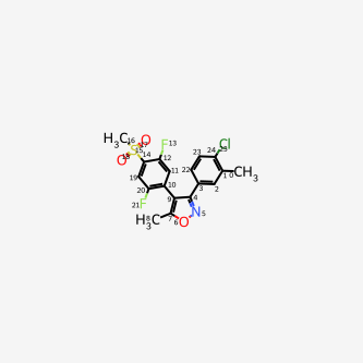 Cc1cc(-c2noc(C)c2-c2cc(F)c(S(C)(=O)=O)cc2F)ccc1Cl